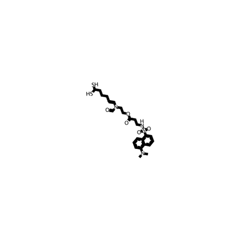 CN(C)c1cccc2c(S(=O)(=O)NCCC(=O)OCCN(C=O)C=CCCCC(S)S)cccc12